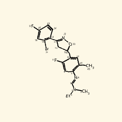 CCN(C)C=Nc1cc(F)c(C2CC(c3ccc(F)cc3Br)=NO2)cc1C